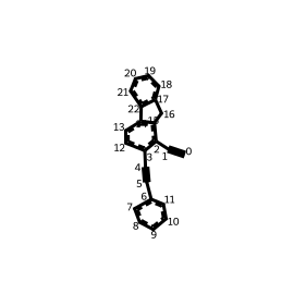 C#Cc1c(C#Cc2ccccc2)ccc2c1Cc1ccccc1-2